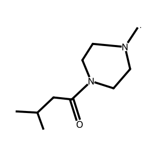 [CH2]N1CCN(C(=O)CC(C)C)CC1